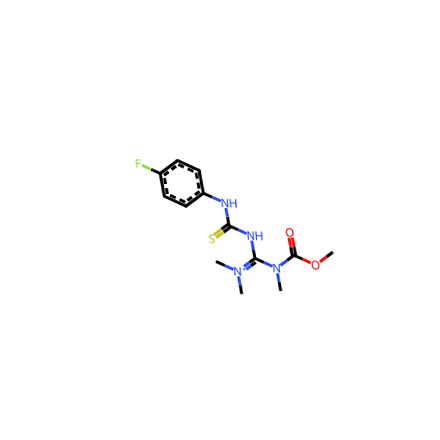 COC(=O)N(C)C(NC(=S)Nc1ccc(F)cc1)=[N+](C)C